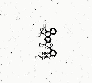 CCCOc1nc2cccc(C(=O)OC(CC)c3ccc(-c4ccccc4-c4nc(=O)o[nH]4)cc3)c2[nH]1